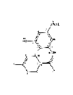 C=C(C)[C@H]1CCC(C)=C[C@@H]1c1c(O)cc(C(C)CCC)cc1O